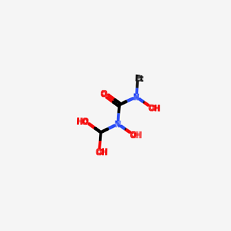 CCN(O)C(=O)N(O)C(O)O